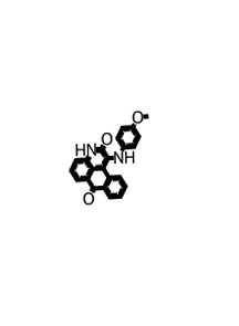 COc1ccc(Nc2c3c4c(cccc4[nH]c2=O)C(=O)c2ccccc2-3)cc1